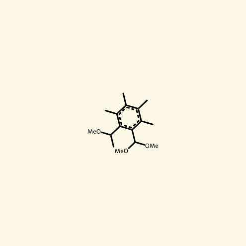 COC(C)c1c(C)c(C)c(C)c(C)c1C(OC)OC